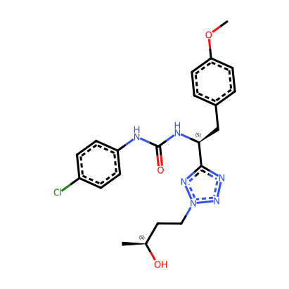 COc1ccc(C[C@H](NC(=O)Nc2ccc(Cl)cc2)c2nnn(CC[C@H](C)O)n2)cc1